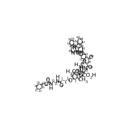 Cc1cc(OCCCC(=O)NCCNC(=O)OCc2ccccc2)cc(C)c1S(=O)(=O)N[C@@H](CNC(=O)C1CC(=O)c2ccc(CNc3nccn3C(c3ccccc3)(c3ccccc3)c3ccccc3)cc2N1C)C(=O)O